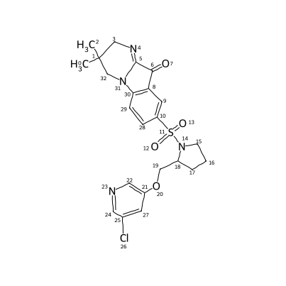 CC1(C)CN=C2C(=O)c3cc(S(=O)(=O)N4CCCC4COc4cncc(Cl)c4)ccc3N2C1